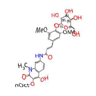 CCCCCCCCOc1c(O)c2ccc(NC(=O)C=Cc3cc(OC)c(O[C@@H]4O[C@H](CO)[C@H](O)[C@H](O)[C@H]4O)c(OC)c3)cc2n(C)c1=O